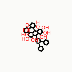 Oc1c(O)c(O)c2c(-c3cccc4oc5ccccc5c34)c3c(O)c(O)c(O)c(O)c3c(-c3ccc(-c4ccccc4)c(-c4ccccc4)c3)c2c1O